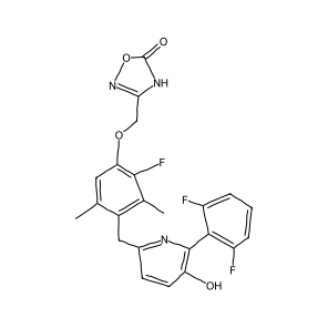 Cc1cc(OCc2noc(=O)[nH]2)c(F)c(C)c1Cc1ccc(O)c(-c2c(F)cccc2F)n1